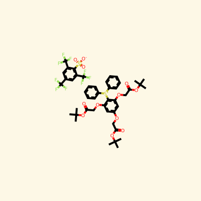 CC(C)(C)OC(=O)COc1cc(OCC(=O)OC(C)(C)C)c([S+](c2ccccc2)c2ccccc2)c(OCC(=O)OC(C)(C)C)c1.O=S(=O)([O-])c1c(C(F)(F)F)cc(C(F)(F)F)cc1C(F)(F)F